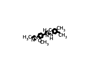 CCc1cc(Nc2nc(-c3ccc(-n4cnc(C)c4)c(OC)c3)cs2)c(C)cc1C